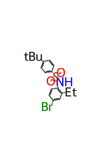 [CH2]Cc1cc(Br)ccc1NS(=O)(=O)c1ccc(C(C)(C)C)cc1